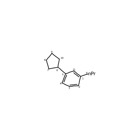 CCCc1[c]ccc(C2CCCC2)c1